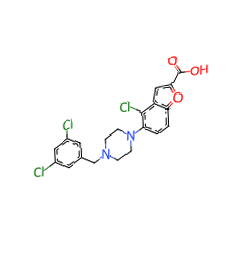 O=C(O)c1cc2c(Cl)c(N3CCN(Cc4cc(Cl)cc(Cl)c4)CC3)ccc2o1